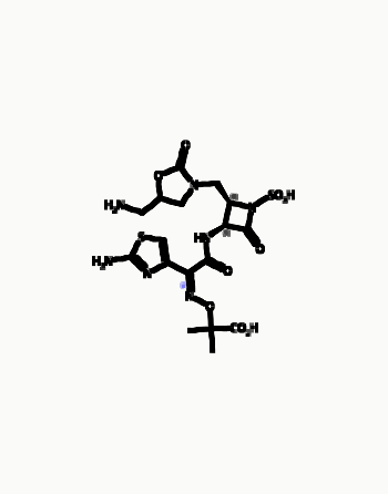 CC(C)(O/N=C(\C(=O)N[C@@H]1C(=O)N(S(=O)(=O)O)[C@@H]1CN1CC(CN)OC1=O)c1csc(N)n1)C(=O)O